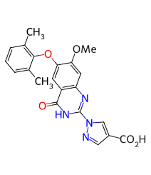 COc1cc2nc(-n3cc(C(=O)O)cn3)[nH]c(=O)c2cc1Oc1c(C)cccc1C